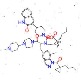 CCCCC1(C(=O)n2ncc3cc(CC(C(=O)N4CCN(C5CCN(C)CC5)CC4)N(CC4C[C@@]4(CCCC)C(=O)O)C(=O)N4CCC(c5cc6ccccc6[nH]c5=O)CC4)cc(C)c32)CC1